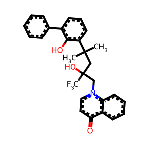 CC(C)(CC(O)(Cn1ccc(=O)c2ccccc21)C(F)(F)F)c1cccc(-c2ccccc2)c1O